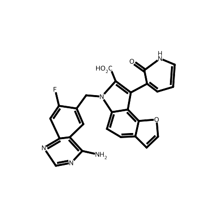 Nc1ncnc2cc(F)c(Cn3c(C(=O)O)c(-c4ccc[nH]c4=O)c4c5occc5ccc43)cc12